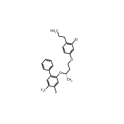 CCc1cc(OCC[C@H](C)Oc2cc(F)c(C(F)(F)F)cc2-c2ccccc2)ccc1CCC(=O)O